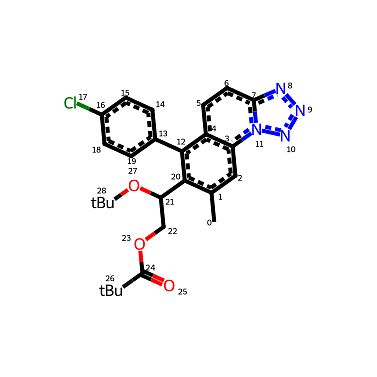 Cc1cc2c(ccc3nnnn32)c(-c2ccc(Cl)cc2)c1C(COC(=O)C(C)(C)C)OC(C)(C)C